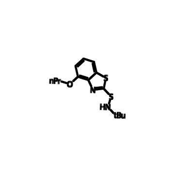 CCCOc1cccc2sc(SNC(C)(C)C)nc12